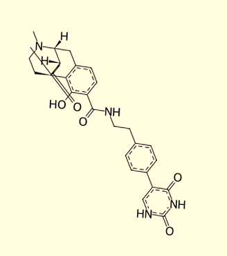 CN1CC[C@]23CC(=O)CC[C@H]2[C@H]1Cc1ccc(C(=O)NCCc2ccc(-c4c[nH]c(=O)[nH]c4=O)cc2)c(O)c13